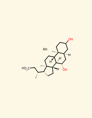 C[C@H](CC(=O)O)[C@H]1CC[C@H]2[C@@H]3[C@@H](O)C[C@@H]4C[C@H](O)CC[C@]4(C)[C@H]3CC[C@]12C.[KH]